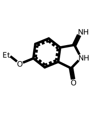 CCOc1ccc2c(c1)C(=O)NC2=N